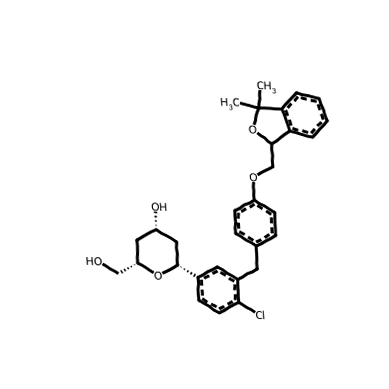 CC1(C)OC(COc2ccc(Cc3cc([C@H]4C[C@@H](O)C[C@@H](CO)O4)ccc3Cl)cc2)c2ccccc21